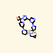 CC1(C)CCN(c2cncc(-c3cn(C4(c5ccc(N6CCC[C@@H](NCC7CC7)C6)cn5)COC4)nn3)n2)C1